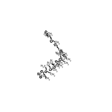 C=C(C)CN1CCCC1.C=CCN1CCCC1CCCC.CCC1(OC)CCCN1C.CCC1CCCN1C(C)OC.CCC=CCN1CCCC1.CCC=CN1CCCC1C.CCC=CN1CCCC1CC.CCC=CN1CCCC1CCC.CCC=CN1CCCC1CCCC.CCCC=CCN1CCCC1.COC(C)N1CCCC1C.COCN1CCCC1C